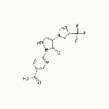 O=C(O)c1ccc(-n2[nH]cc(-n3cnc(C(F)(F)F)c3)c2=O)nc1